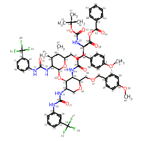 COc1ccc(COCC2O[C@@H](O[C@@H]3C(NC(=O)Nc4cccc(C(F)(F)F)c4)COC(COCc4ccc(OC)cc4)[C@@H]3NC(=O)CC[C@@H](NC(=O)OC(C)(C)C)C(=O)OC(=O)c3ccccc3)C(NC(=O)Nc3cccc(C(F)(F)F)c3)[C@@H](C)[C@@H]2C)cc1